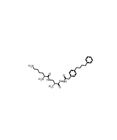 C[C@@H](CNC(=O)[C@@H](N)CCCCN)C(=O)ONC(=O)Cc1ccc(CCCCc2ccccc2)cc1